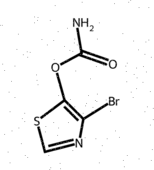 NC(=O)Oc1scnc1Br